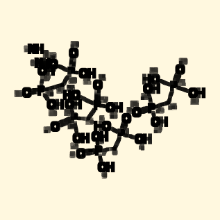 N.N.O=P(O)(O)CP(=O)(O)O.O=P(O)(O)CP(=O)(O)O.O=P(O)(O)CP(=O)(O)O.O=P(O)(O)CP(=O)(O)O